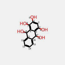 Oc1cc(O)c2c(c1O)C(O)c1ccccc1C2O